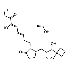 C=CO.CCCCCCC1(C(O)CC[C@H]2CCC(=O)[C@@H]2CCC=CC=C(O)C(=O)CO)CCC1